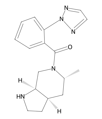 C[C@@H]1C[C@H]2CCN[C@H]2CN1C(=O)c1ccccc1-n1nccn1